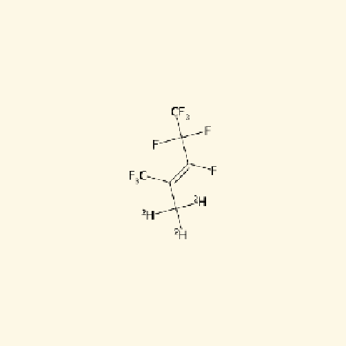 [2H]C([2H])([2H])C(=C(F)C(F)(F)C(F)(F)F)C(F)(F)F